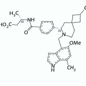 COc1cc(C)c2[nH]ccc2c1CN1CCC2(CC(C#N)C2)C[C@H]1c1ccc(C(=O)N[C@@H](C)CC(=O)O)cc1